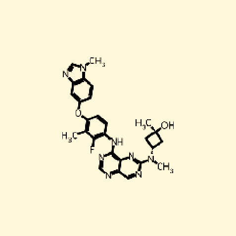 Cc1c(Oc2ccc3c(c2)ncn3C)ccc(Nc2ncnc3cnc(N(C)[C@H]4C[C@@](C)(O)C4)nc23)c1F